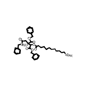 CCCCCCCCCCCCCCCCCCCCCC(=O)OC(C(=O)OCc1ccccc1)C(O)(CC(=O)OCc1ccccc1)C(=O)OCc1ccccc1